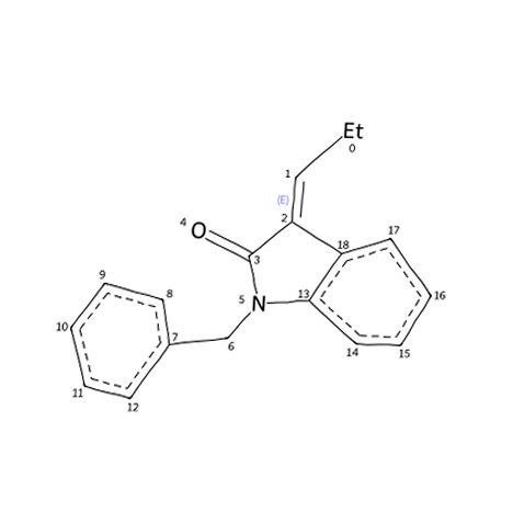 CC/C=C1/C(=O)N(Cc2ccccc2)c2ccccc21